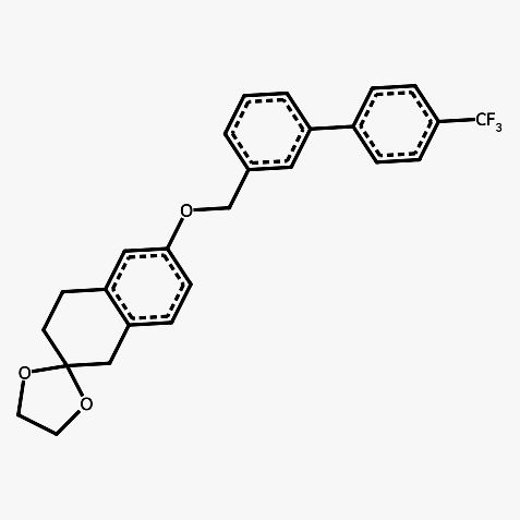 FC(F)(F)c1ccc(-c2cccc(COc3ccc4c(c3)CCC3(C4)OCCO3)c2)cc1